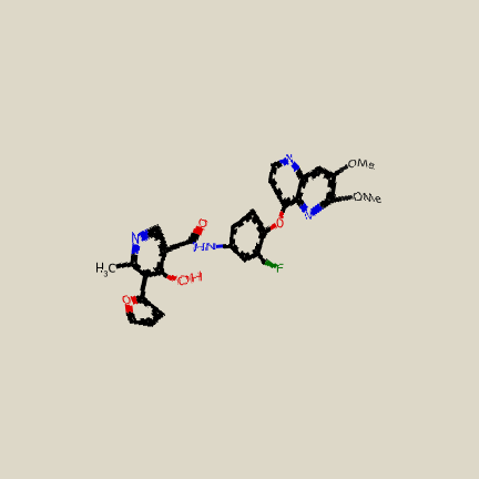 COc1cc2nccc(Oc3ccc(NC(=O)c4cnc(C)c(-c5ccco5)c4O)cc3F)c2nc1OC